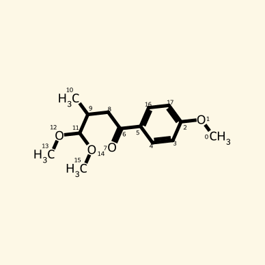 COc1ccc(C(=O)CC(C)C(OC)OC)cc1